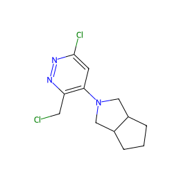 ClCc1nnc(Cl)cc1N1CC2CCCC2C1